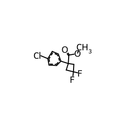 COC(=O)C1(c2ccc(Cl)cc2)CC(F)(F)C1